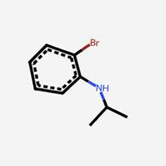 CC(C)Nc1ccccc1Br